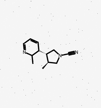 CC1N=CC=CC1[C@@H]1CN(C#N)C[C@H]1C